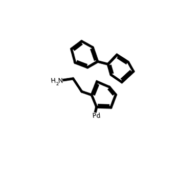 NCCc1cccc[c]1[Pd].c1ccc(-c2ccccc2)cc1